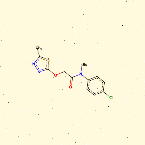 CC(C)(C)N(C(=O)COc1nnc(C(F)(F)F)s1)c1ccc(Cl)cc1